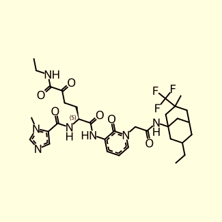 CCNC(=O)C(=O)CC[C@H](NC(=O)c1cncn1C)C(=O)Nc1cccn(CC(=O)NC23CC(CC)CC(C2)CC(C)(C(F)(F)F)C3)c1=O